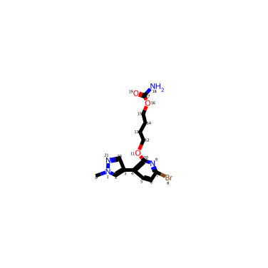 Cn1cc(-c2ccc(Br)nc2OCCCCOC(N)=O)cn1